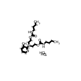 CCCCNC(=O)OCCN(CCOC(=O)NCCCC)c1ncccc1C.Cl.Cl